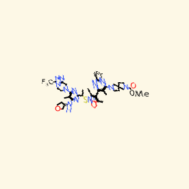 COC(=O)N1CCC2(CCN(c3nc(C(C)C)nc(-c4c(C)o[n+](SC(C)c5nc(N[C@@H]6CCOC6)c(C)c(N6CCn7c(nnc7C(F)(F)F)C6)n5)c4C)c3C)C2)C1